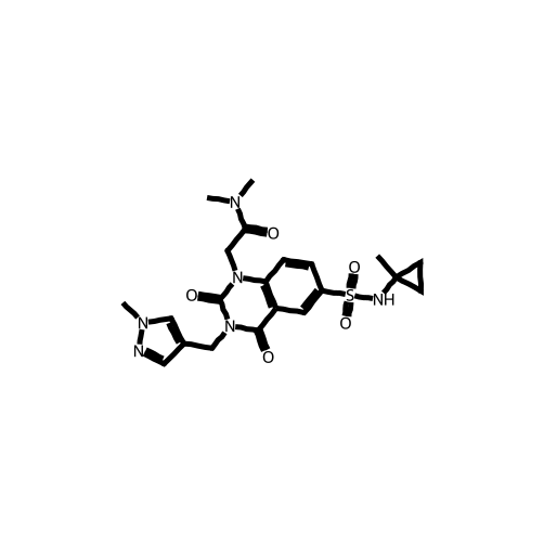 CN(C)C(=O)Cn1c(=O)n(Cc2cnn(C)c2)c(=O)c2cc(S(=O)(=O)NC3(C)CC3)ccc21